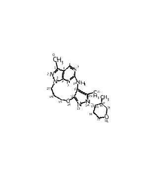 Cc1nn2c3nc(ncc13)Nc1c(nn([C@H]3CCOC[C@@H]3C)c1C)OCCC2